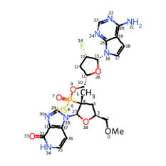 COC[C@@H]1C[C@@](C)(P(=O)(S)OC[C@@H]2C[C@H](F)[C@H](n3ccc4c(N)ncnc43)O2)[C@H](n2cnc3c(=O)[nH]ccc32)O1